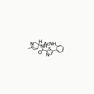 CC(=O)Nc1ccccc1-c1cnc(C(=O)N[C@H]2CN3CCC2CC3C)s1